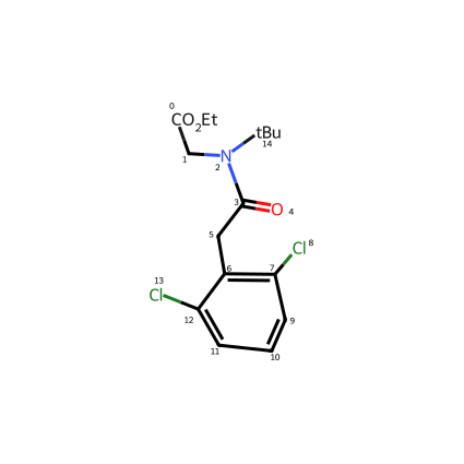 CCOC(=O)CN(C(=O)Cc1c(Cl)cccc1Cl)C(C)(C)C